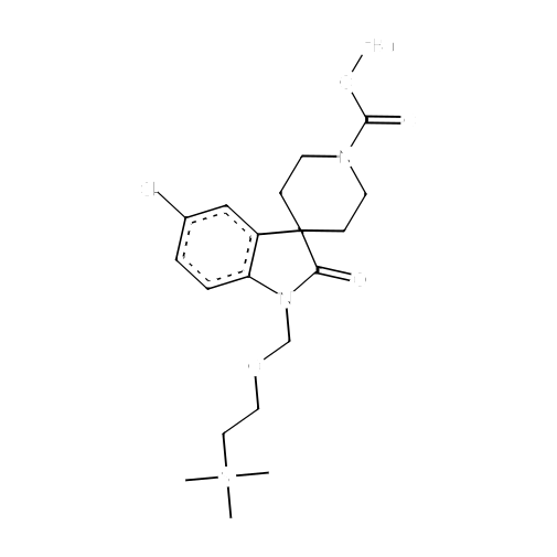 CC(C)(C)OC(=O)N1CCC2(CC1)C(=O)N(COCC[Si](C)(C)C)c1ccc(Cl)cc12